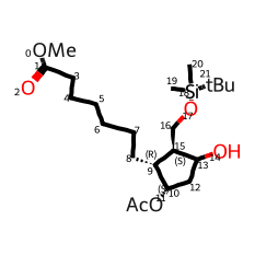 COC(=O)CCCCCC[C@H]1[C@@H](OC(C)=O)CC(O)[C@@H]1CO[Si](C)(C)C(C)(C)C